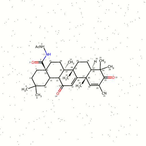 CC(=O)NNC(=O)[C@]12CCC(C)(C)CC1C1C(=O)C=C3[C@@]4(C)C=C(C#N)C(=O)C(C)(C)[C@@H]4CC[C@@]3(C)[C@]1(C)CC2